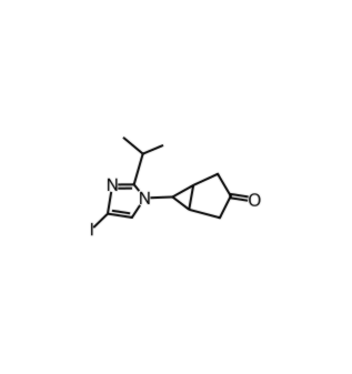 CC(C)c1nc(I)cn1C1C2CC(=O)CC21